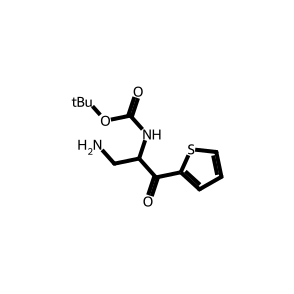 CC(C)(C)OC(=O)NC(CN)C(=O)c1cccs1